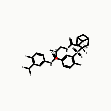 C[C@H](O)CNC(=O)C[C@]1(O)C2CC1C[C@@H](S(=O)(=O)c1cc(C(=O)Nc3ccc(F)c(C(F)F)c3)ccc1Cl)C2